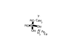 O[Si](O)(O)O.[AlH3].[CaH2].[Ce].[Fe].[Y]